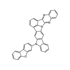 c1ccc2nc3c(nc2c1)c1cccc2c4cc5c(cc4n3c21)c1ccccc1n5-c1ccc2c(c1)oc1ccccc12